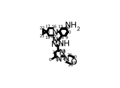 Cc1cc(-c2nnc(-c3ccc(N)cc3N3CCC4(CC3)CC4)[nH]2)nc(N2CCOCC2)n1